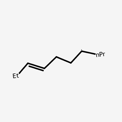 CC/C=C/CC[CH]CCC